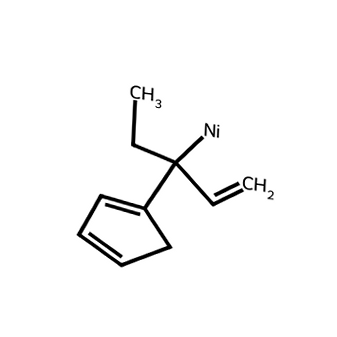 C=C[C]([Ni])(CC)C1=CC=CC1